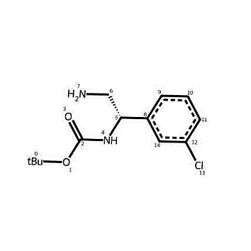 CC(C)(C)OC(=O)N[C@H](CN)c1cccc(Cl)c1